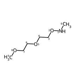 CNOCCOCCOC